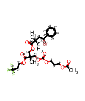 CC(=O)OCCCOC(=O)OCC(C)(COC(=O)C(C)(C)CC(Br)c1ccccc1)C(=O)OCCC(F)(F)F